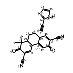 CC1(C)C(=O)C(C#N)=C[C@]2(C)C3=CC(=O)C(C#N)=C[C@]3(C#Cc3ncc[nH]3)CCC12